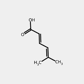 CC(C)=C/C=C/C(=O)O